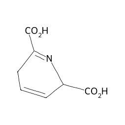 O=C(O)C1=NC(C(=O)O)C=CC1